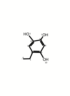 [CH2]Cc1cc(O)c(O)cc1O